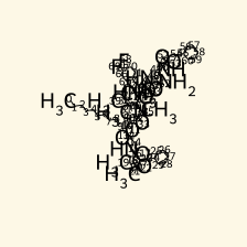 CCCCCCCCCC[C@@H](OC(=O)CNC(=O)[C@@H](C)[C@H](C)OCc1ccccc1)[C@@H](C)C(=O)N(C)[C@@H](CC(C)C)C(=O)NC(C(=O)N[C@@H](CNC(=O)OCc1ccccc1)C(N)=O)C1CCC(F)(F)CC1